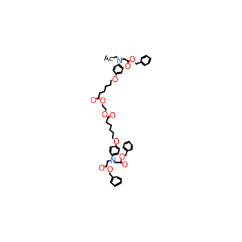 CC(=O)CN(CC(=O)OCc1ccccc1)c1ccc(OCCCCCC(=O)OCCOC(=O)CCCCCOc2ccc(N(CC(=O)OCc3ccccc3)CC(=O)OCc3ccccc3)cc2)cc1